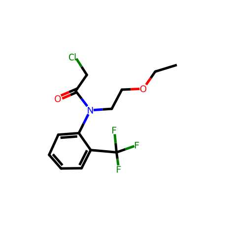 CCOCCN(C(=O)CCl)c1ccccc1C(F)(F)F